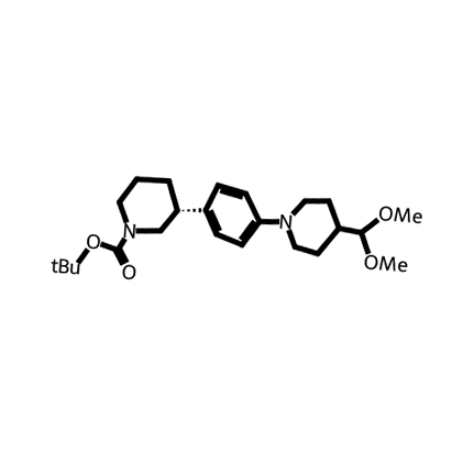 COC(OC)C1CCN(c2ccc([C@H]3CCCN(C(=O)OC(C)(C)C)C3)cc2)CC1